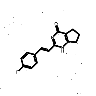 O=c1nc(C=Cc2ccc(F)cc2)[nH]c2c1CCC2